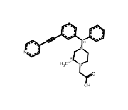 C[C@@H]1CN([C@H](c2ccccc2)c2cccc(C#Cc3ccncc3)c2)CCN1CC(=O)O